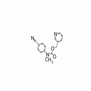 CN(C(=O)OCc1cccnc1)c1ccc(C#N)cc1